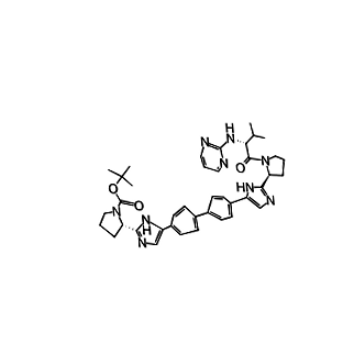 CC(C)[C@@H](Nc1ncccn1)C(=O)N1CCC[C@H]1c1ncc(-c2ccc(-c3ccc(-c4cnc([C@@H]5CCCN5C(=O)OC(C)(C)C)[nH]4)cc3)cc2)[nH]1